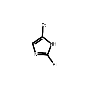 [CH2]Cc1cnc(CC)[nH]1